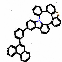 c1cc(-c2ccc3c(c2)c2cccc4c5cccc6sc7cccc(c8ccccc8n3c42)c7c65)cc(-c2cc3ccccc3c3ccccc23)c1